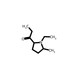 CCC(=O)C1CCC(C)N1CC